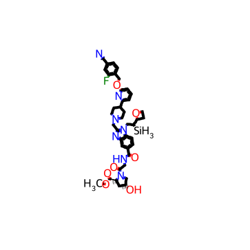 COC(=O)[C@@H]1C[C@H](O)CN1C(=O)CNC(=O)c1ccc2c(c1)nc(CN1CCC(c3cccc(OCc4ccc(C#N)cc4F)n3)CC1)n2CC([SiH3])C1CCO1